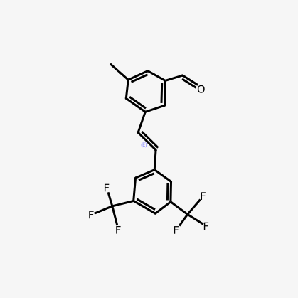 Cc1cc(C=O)cc(/C=C/c2cc(C(F)(F)F)cc(C(F)(F)F)c2)c1